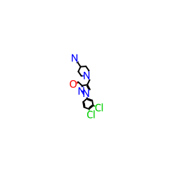 N#CC1CCN(Cc2cn(-c3ccc(Cl)c(Cl)c3)nc2C=O)CC1